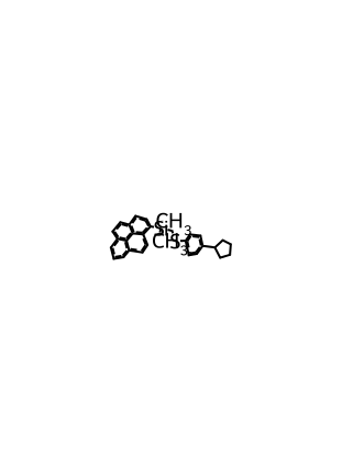 C[Si](C)(CSc1ccc(C2CCCC2)cc1)c1ccc2ccc3cccc4ccc1c2c34